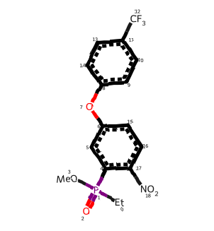 CCP(=O)(OC)c1cc(Oc2ccc(C(F)(F)F)cc2)ccc1[N+](=O)[O-]